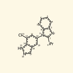 CC(C)c1nc2cccnc2n1-c1cc(Cl)c2[nH]ncc2c1